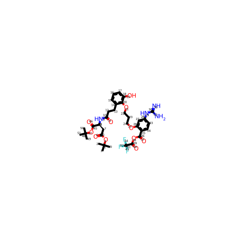 CC(C)(C)OC(=O)C[C@H](NC(=O)CCc1cccc(O)c1OCCCOc1cc(NC(=N)N)ccc1C(=O)OC(=O)C(F)(F)F)C(=O)OC(C)(C)C